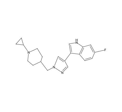 Fc1ccc2c(-c3cnn(CC4CCN(C5CC5)CC4)c3)c[nH]c2c1